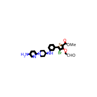 COC(=O)c1sc(-c2cccc(NC3CCN(c4ccc(N)cn4)CC3)c2)c(Br)c1OCC=O